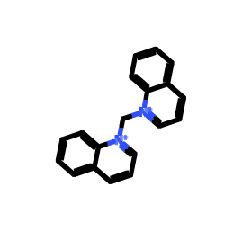 c1ccc2c(c1)ccc[n+]2C[n+]1cccc2ccccc21